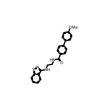 COc1ccc(-c2ccc(C(=O)NCCNc3nsc4ccccc34)cc2)cc1